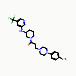 Cc1ccc(N2CCN(CCC(=O)N3CCCC(Nc4cncc(C(F)(F)F)c4)C3)CC2)cc1